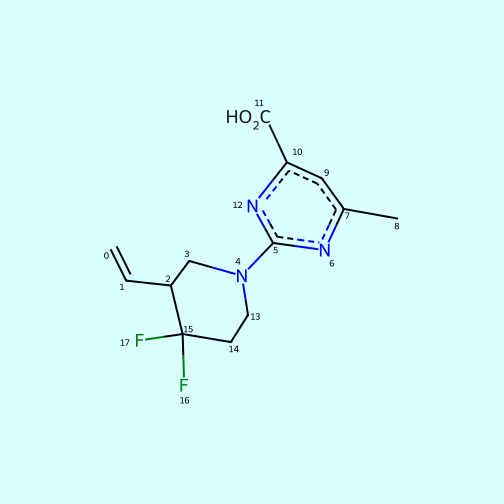 C=CC1CN(c2nc(C)cc(C(=O)O)n2)CCC1(F)F